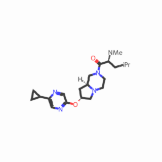 CN[C@@H](CC(C)C)C(=O)N1CCN2C[C@H](Oc3cnc(C4CC4)cn3)C[C@H]2C1